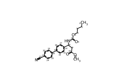 CCCCOC(=O)NC(CC(=O)OC)c1ccc(-c2ccc(C#N)cc2)cc1